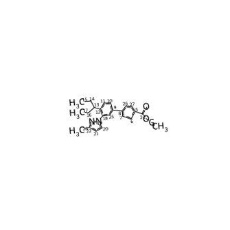 CCOC(=O)c1ccc(-c2ccc(C(CC)CC)c(-n3ccc(C)n3)c2)cc1